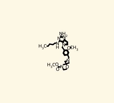 CCCCCNc1nc(N)nc2ccn(Cc3ccc(CN4CC5(C4)CN(C(=O)OC)CCO5)cc3OC)c12